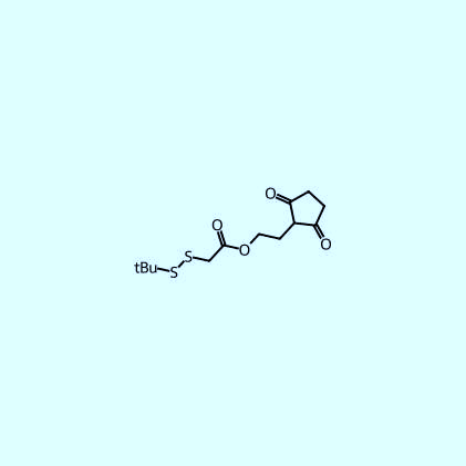 CC(C)(C)SSCC(=O)OCCC1C(=O)CCC1=O